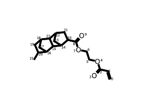 C=CC(=O)OCCOC(=O)C1CC2CC1C1C3CC(CC3C)C21